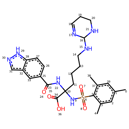 Cc1cc(C)c(S(=O)(=O)NC(CCCCNC2N=CCCN2)(NC(=O)c2ccc3[nH]ncc3c2)C(=O)O)c(C)c1